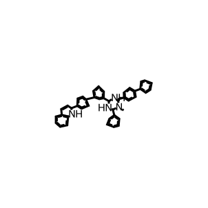 CN1C(c2ccccc2)NC(c2cccc(-c3ccc(C4C=Cc5ccccc5N4)cc3)c2)NC1c1ccc(-c2ccccc2)cc1